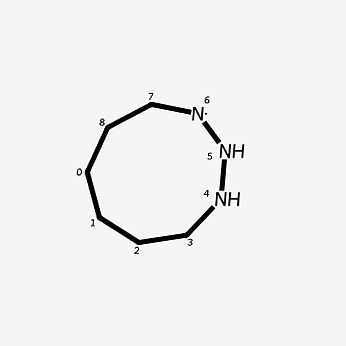 C1CCCNN[N]CC1